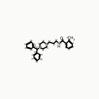 Cc1ccccc1C(=O)NCCCN1CCN(C(c2ccccc2)c2ccccc2)CC1